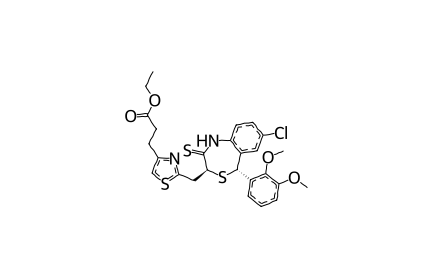 CCOC(=O)CCc1csc(C[C@@H]2S[C@@H](c3cccc(OC)c3OC)c3cc(Cl)ccc3NC2=S)n1